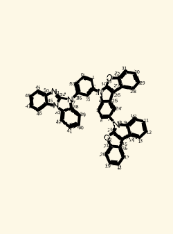 c1cc(-n2c3ccc(-n4c5ccccc5c5c6ccccc6oc54)cc3c3c4ccccc4oc32)cc(-n2c3ccccc3n3c4ccccc4nc23)c1